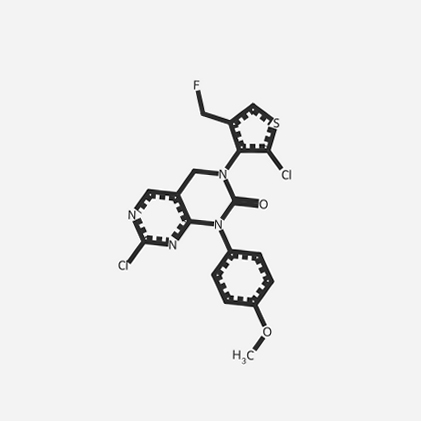 COc1ccc(N2C(=O)N(c3c(CF)csc3Cl)Cc3cnc(Cl)nc32)cc1